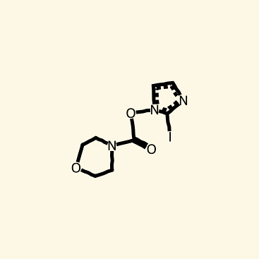 O=C(On1ccnc1I)N1CCOCC1